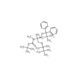 CN(C(=O)OC(C)(C)C)C(C)(CO[Si](C)(C)C(C)(C)C)CO[Si](c1ccccc1)(c1ccccc1)C(C)(C)C